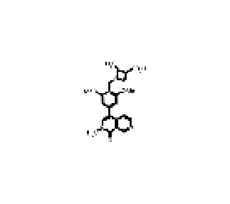 COc1cc(-c2cn(C)c(=O)c3cnccc23)cc(OC)c1CN1CC(C(=O)O)C1C